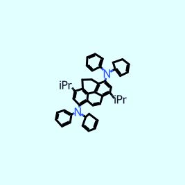 CC(C)c1cc(N(c2ccccc2)C2C=CC=CC2)c2ccc3c(C(C)C)cc(N(C4=CC=CCC4)c4ccccc4)c4c3c2c1CC4